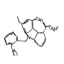 COC(=O)c1cccc2c1c1c(O)cc(C)cc1n2Cc1ccccc1Cl